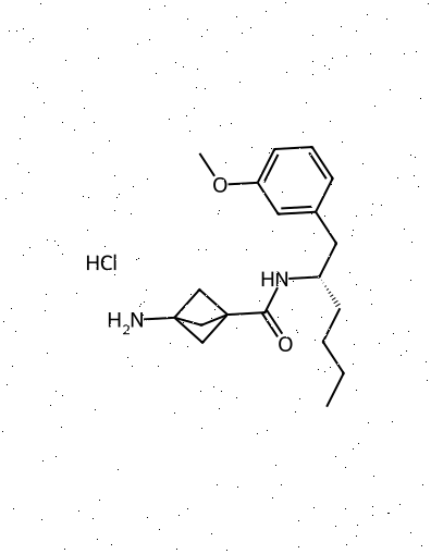 CCCC[C@@H](Cc1cccc(OC)c1)NC(=O)C12CC(N)(C1)C2.Cl